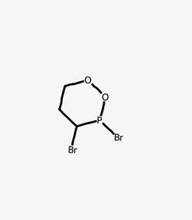 BrC1CCOOP1Br